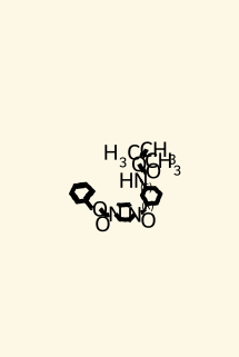 CC(C)(C)OC(=O)N[C@H]1CCC[C@@H](C(=O)N2CCN(C(=O)OCc3ccccc3)CC2)C1